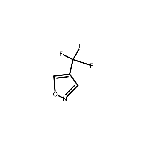 FC(F)(F)c1[c]onc1